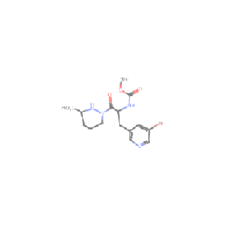 CC(C)(C)OC(=O)NC(Cc1cncc(Br)c1)C(=O)N1CCCC(C(=O)O)N1